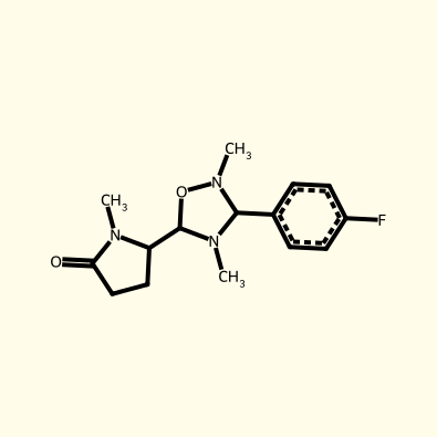 CN1OC(C2CCC(=O)N2C)N(C)C1c1ccc(F)cc1